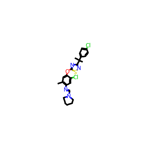 Cc1cc(Oc2nc(C(C)(C)c3ccc(Cl)cc3)ns2)c(Cl)cc1N=CN1CCCCC1